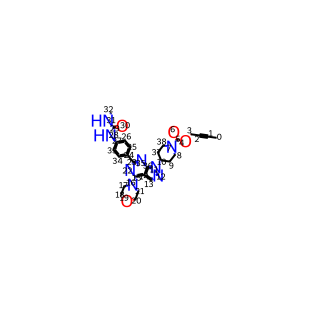 CC#CCOC(=O)N1CCC(n2ncc3c(N4CCOCC4)nc(-c4ccc(NC(=O)NC)cc4)nc32)CC1